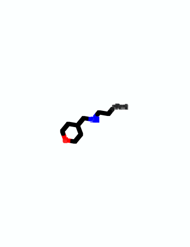 CCCCCCCNCC1CCOCC1